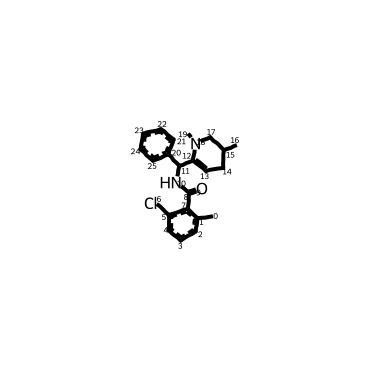 Cc1cccc(Cl)c1C(=O)NC(C1=CCC(C)CN1C)c1ccccc1